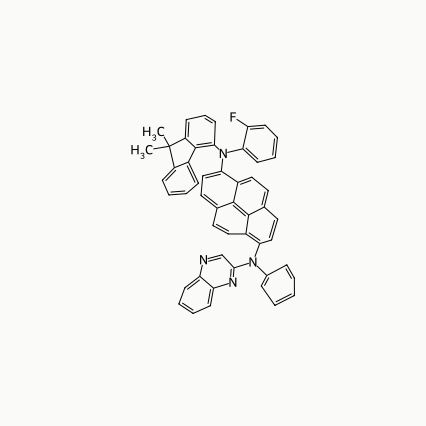 CC1(C)c2ccccc2-c2c(N(c3ccccc3F)c3ccc4ccc5c(N(c6ccccc6)c6cnc7ccccc7n6)ccc6ccc3c4c65)cccc21